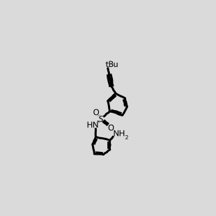 CC(C)(C)C#Cc1cccc(S(=O)(=O)Nc2ccccc2N)c1